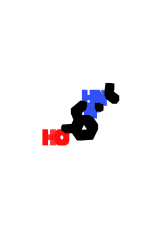 CC(C)NCN1CCc2c(CO)cccc21